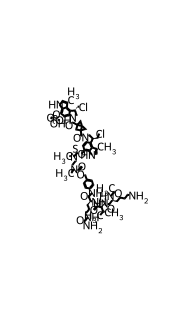 CC(=O)N[C@@H](CCCCN)C(=O)N[C@H](C(=O)N[C@@H](CCCNC(N)=O)C(=O)Nc1ccc(COC(=O)N(C)CCN(C)C(=S)Oc2cc3c(c4c(C)c[nH]c24)[C@H](CCl)CN3C(=O)C23CC4(C(=O)N5C[C@@H](CCl)c6c5cc(OP(=O)(O)O)c5[nH]cc(C)c65)CC24C3)cc1)C(C)C